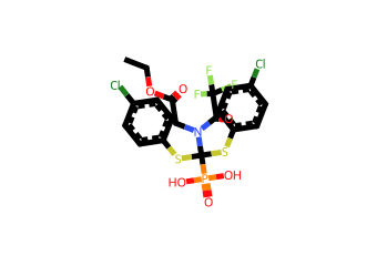 CCOC(=O)CN(C(=O)C(F)(F)F)C(Sc1ccc(Cl)cc1)(Sc1ccc(Cl)cc1)P(=O)(O)O